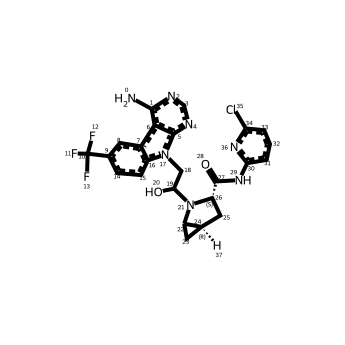 Nc1ncnc2c1c1cc(C(F)(F)F)ccc1n2CC(O)N1C2C[C@@H]2C[C@H]1C(=O)Nc1cccc(Cl)n1